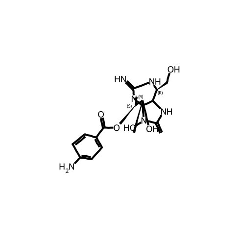 C=C1NC2[C@H](CO)NC(=N)N3C[C@H](OC(=O)c4ccc(N)cc4)[C@](C)(O)C23N1O